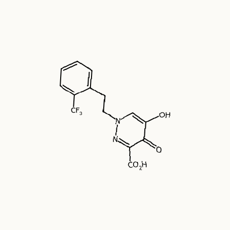 O=C(O)c1nn(CCc2ccccc2C(F)(F)F)cc(O)c1=O